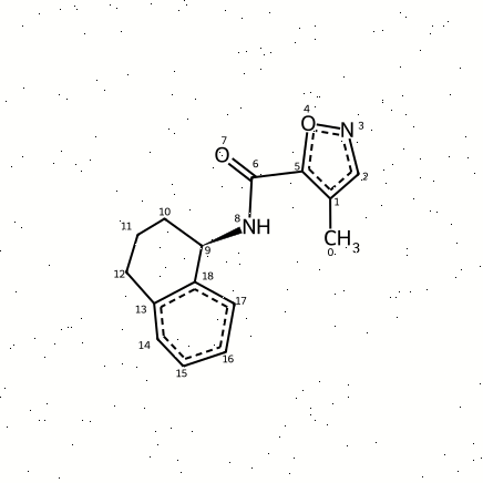 Cc1cnoc1C(=O)N[C@@H]1CCCc2ccccc21